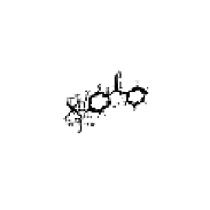 C=C(c1ccccc1)c1ccc([SiH](C(C)(C)C)C(C)(C)C)cc1